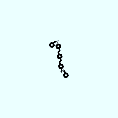 CN(Cc1ccccc1)c1ccc(CCc2ccc(CCc3ccc(N(C)Cc4ccccc4)cc3)cc2)cc1